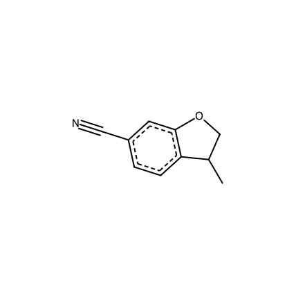 CC1COc2cc(C#N)ccc21